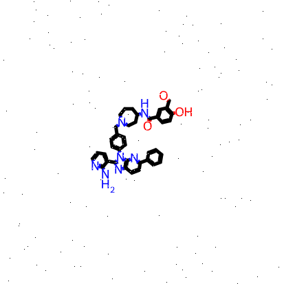 Nc1ncccc1-c1nc2ccc(-c3ccccc3)nc2n1-c1ccc(CN2CCCC(NC(=O)c3ccc(O)c(C=O)c3)CC2)cc1